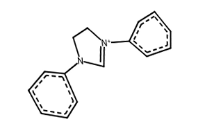 C1=[N+](c2ccccc2)CCN1c1ccccc1